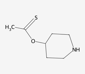 CC(=S)OC1CCNCC1